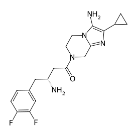 Nc1c(C2CC2)nc2n1CCN(C(=O)C[C@H](N)Cc1ccc(F)c(F)c1)C2